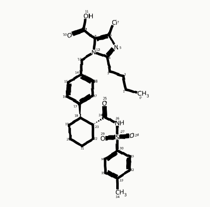 CCCCc1nc(Cl)c(C(=O)O)n1Cc1ccc([C@@H]2CCCC[C@H]2C(=O)NS(=O)(=O)c2ccc(C)cc2)cc1